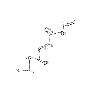 C=COC(=O)/C=C/C(=O)OCC